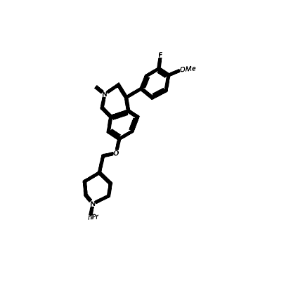 CCCN1CCC(COc2ccc3c(c2)CN(C)CC3c2ccc(OC)c(F)c2)CC1